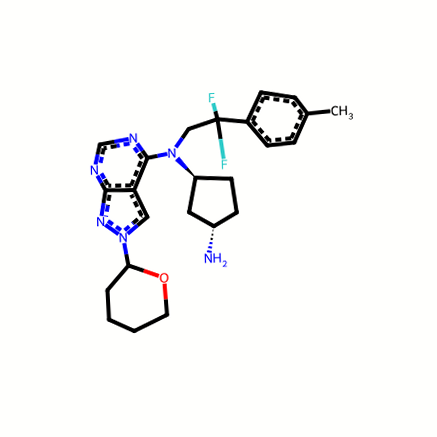 Cc1ccc(C(F)(F)CN(c2ncnc3nn(C4CCCCO4)cc23)[C@H]2CC[C@H](N)C2)cc1